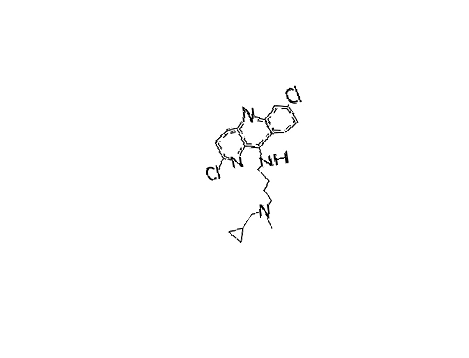 CN(CCCCNc1c2ccc(Cl)cc2nc2ccc(Cl)nc12)CC1CC1